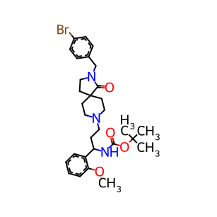 COc1ccccc1C(CCN1CCC2(CC1)CCN(Cc1ccc(Br)cc1)C2=O)NC(=O)OC(C)(C)C